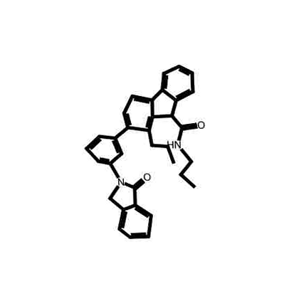 CCCNC(=O)C1c2ccccc2-c2ccc(-c3cccc(N4Cc5ccccc5C4=O)c3)c(CCC)c21